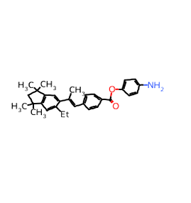 CCc1cc2c(cc1C(C)=Cc1ccc(C(=O)Oc3ccc(N)cc3)cc1)C(C)(C)CC2(C)C